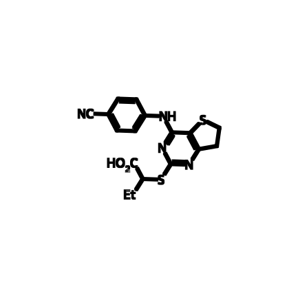 CCC(Sc1nc2c(c(Nc3ccc(C#N)cc3)n1)SCC2)C(=O)O